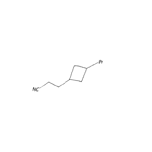 CC(C)C1CC(CCC#N)C1